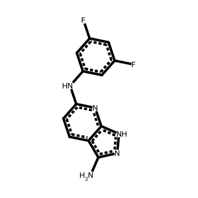 Nc1n[nH]c2nc(Nc3cc(F)cc(F)c3)ccc12